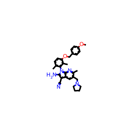 COc1ccc(COc2ccc(C)c(-n3c(N)c(C#N)c4cc(CN5CCCC5)c(C)nc43)c2C)cc1